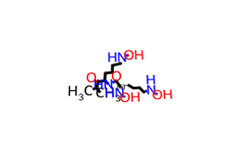 CC(C)C(=O)C(CCCCNO)NC(=O)[C@H](CCCCNO)NO